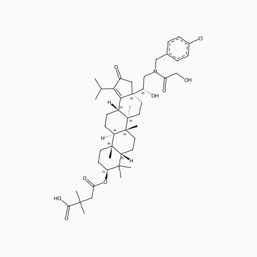 CC(C)C1=C2[C@H]3CC[C@@H]4[C@@]5(C)CC[C@H](OC(=O)CC(C)(C)C(=O)O)C(C)(C)[C@H]5CC[C@@]4(C)[C@]3(C)CC[C@@]2([C@@H](O)CN(Cc2ccc(Cl)cc2)C(=O)CO)CC1=O